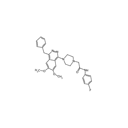 COc1cc2c(Cc3ccccc3)nnc(N3CCN(CC(=O)Nc4ccc(F)cc4)CC3)c2cc1OC